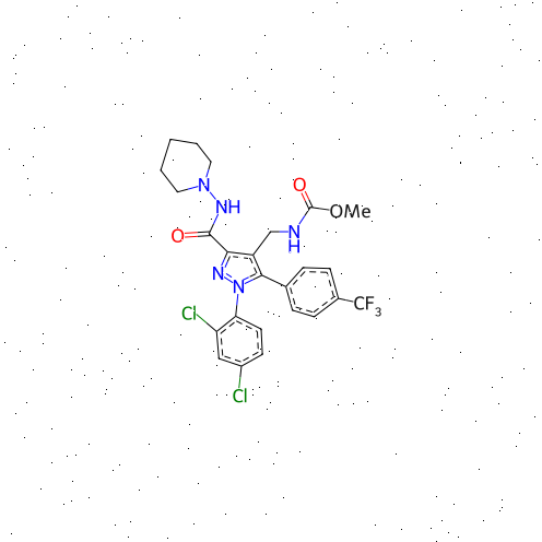 COC(=O)NCc1c(C(=O)NN2CCCCC2)nn(-c2ccc(Cl)cc2Cl)c1-c1ccc(C(F)(F)F)cc1